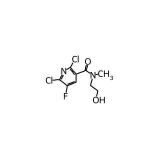 CN(CCO)C(=O)c1cc(F)c(Cl)nc1Cl